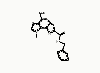 CNc1nc2sc(C(=O)NCc3ccccc3)nc2c2c1ncn2C